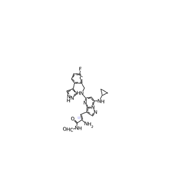 N/C(=C\c1cnn2c(NC3CC3)cc(NCc3cc(F)ccc3-c3cn[nH]c3)nc12)C(=O)NC=O